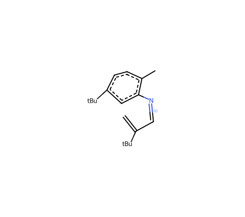 C=C(/C=N\c1cc(C(C)(C)C)ccc1C)C(C)(C)C